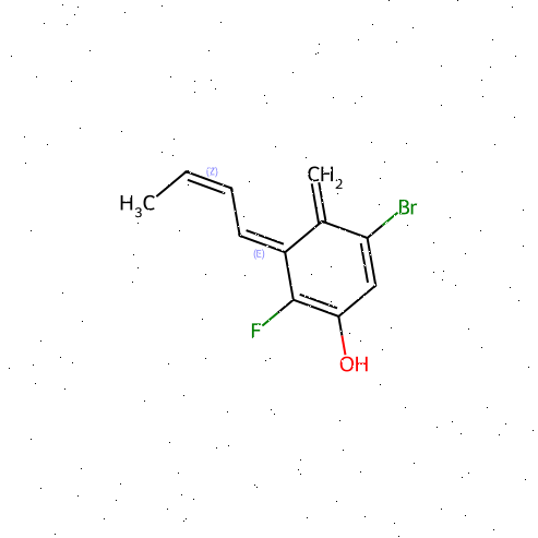 C=c1c(Br)cc(O)c(F)/c1=C/C=C\C